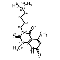 Cc1cc(=O)[nH]c2c1c(=O)n(CCCC[C@@H](C)O)c(=O)n2C